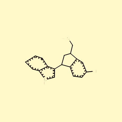 NCC1CC(c2c[nH]c3ccccc23)c2ccc(Cl)cc21